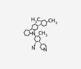 Cc1ccc(-c2ccc3c4ccccc4n(-c4cc(C#N)c(-c5ccncc5)cc4C)c3c2)c(C)c1